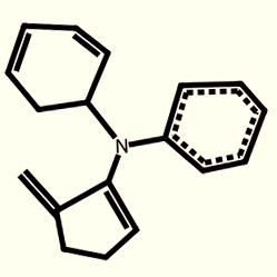 C=C1CCC=C1N(c1ccccc1)C1C=CC=CC1